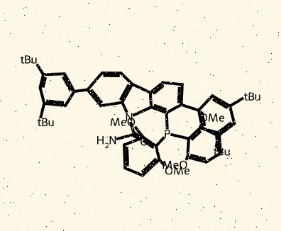 COc1cccc(OC)c1P(c1c(OC)cccc1OC)c1c(-c2cc(C(C)(C)C)cc(C(C)(C)C)c2)ccc2c3ccc(-c4cc(C(C)(C)C)cc(C(C)(C)C)c4)cc3n(C(N)=O)c12